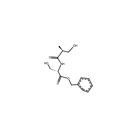 C[C@@H](CO)C(=O)N[C@@H](CO)C(=O)OCc1ccccc1